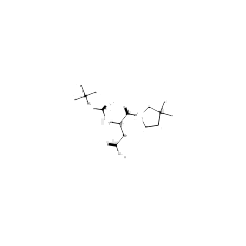 CC1(C)CCN(C(=O)C(CC(=O)O)NC(=O)OC(C)(C)C)C1